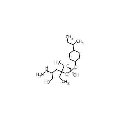 CCC(C)C1CCC(OP(=O)(O)OC(CC)(CC)CC(CO)NN)CC1